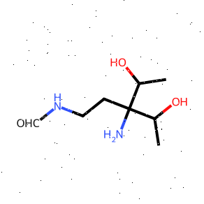 CC(O)C(N)(CCNC=O)C(C)O